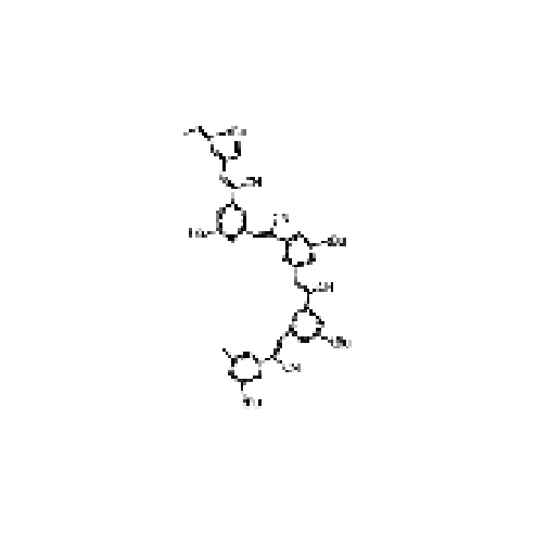 C=CC(/C=C(\C#N)c1cc(/C=C(\C#N)c2cc(/C=C(\C#N)c3cc(/C=C(\C#N)c4cc(C)cc(C(C)(C)C)c4)cc(C(C)(C)C)c3)cc(C(C)(C)C)c2)cc(C(C)(C)C)c1)=C\C(=C/C)C(C)(C)C